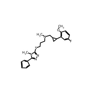 COc1ccc(F)cc1C1CC1CN(C)CCCSc1nnc(-c2ccccc2)n1C